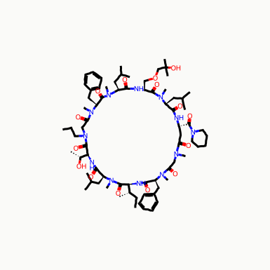 CCCN1CC(=O)N(C)[C@@H](Cc2ccccc2)C(=O)N(C)[C@@H](CC(C)C)C(=O)N[C@@H](COCC(C)(C)O)C(=O)N(C)[C@@H](CC(C)C)C(=O)N[C@H](C(=O)N2CCCCC2)CC(=O)N(C)CC(=O)N(C)[C@@H](Cc2ccccc2)C(=O)N[C@@H]([C@@H](C)CC)C(=O)N(C)[C@@H](CC(C)C)C(=O)N[C@@H]([C@@H](C)O)C1=O